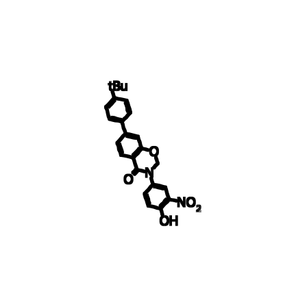 CC(C)(C)c1ccc(-c2ccc3c(c2)OCN(c2ccc(O)c([N+](=O)[O-])c2)C3=O)cc1